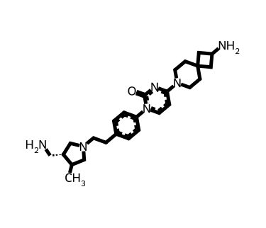 CC1CN(CCc2ccc(-n3ccc(N4CCC5(CC4)CC(N)C5)nc3=O)cc2)C[C@H]1CN